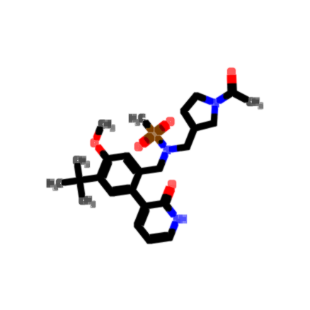 COc1cc(CN(CC2CCN(C(C)=O)C2)S(C)(=O)=O)c(-c2ccc[nH]c2=O)cc1C(C)(C)C